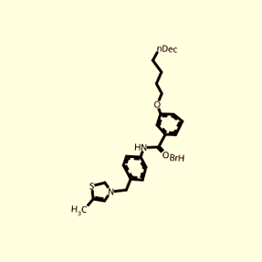 Br.CCCCCCCCCCCCCCOc1cccc(C(=O)Nc2ccc(CN3C=C(C)SC3)cc2)c1